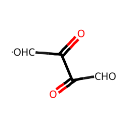 O=[C]C(=O)C(=O)C=O